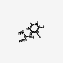 CCCC(CCC)Nc1ncnc(C)c1C